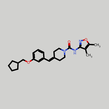 Cc1onc(NC(=O)N2CCC(=Cc3cccc(OCC4CCCC4)c3)CC2)c1C